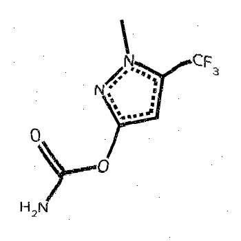 Cn1nc(OC(N)=O)cc1C(F)(F)F